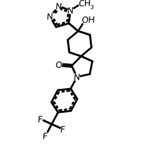 Cn1nncc1C1(O)CCC2(CCN(c3ccc(C(F)(F)F)cc3)C2=O)CC1